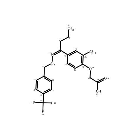 CCC/C(=N/OCc1ccc(C(F)(F)F)cc1)c1ccc(OCC(=O)O)c(C)c1